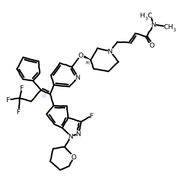 CN(C)C(=O)C=CCN1CCC[C@@H](Oc2ccc(/C(=C(/CC(F)(F)F)c3ccccc3)c3ccc4c(c3)c(F)nn4C3CCCCO3)cn2)C1